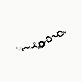 COCCOCC(=O)Nc1ccc(N2CCN(CCC3CCNCC3)CC2)cc1